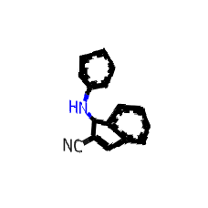 N#CC1=Cc2ccccc2C1Nc1ccccc1